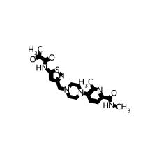 CNC(=O)c1ccc(N2CCN(Cc3cc(NC(=O)C(C)=O)sn3)CC2)c(C)n1